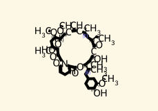 CC[C@@H]1/C=C(\C)C[C@H](C)C[C@H](OC)[C@H]2O[C@@](O)(C(=O)C(=O)N3C=CCC[C@H]3C(=O)O[C@H](/C(C)=C/C3CC[C@@H](O)[C@H](OC)C3)[C@H](C)[C@@H](O)CC1=O)[C@H](C)C[C@@H]2OC